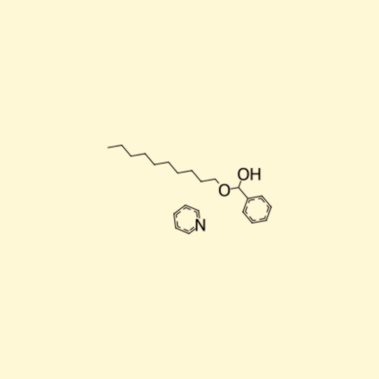 CCCCCCCCCCOC(O)c1ccccc1.c1ccncc1